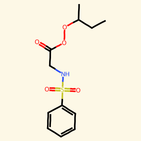 CCC(C)OOC(=O)CNS(=O)(=O)c1ccccc1